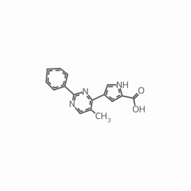 Cc1cnc(-c2ccccc2)nc1-c1c[nH]c(C(=O)O)c1